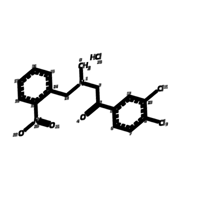 CN(CC(=O)c1ccc(Cl)c(Cl)c1)Cc1ccccc1[N+](=O)[O-].Cl